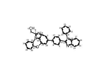 CCc1nc2cc(-c3ccc(-c4nc5ccccc5n4-c4ccccc4)cc3)cc3c2n1-c1ccccc1O3